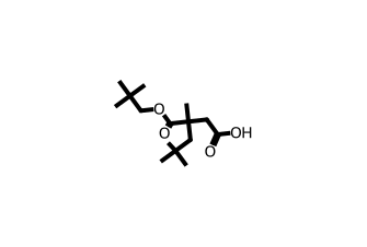 CC(C)(C)COC(=O)C(C)(CC(=O)O)CC(C)(C)C